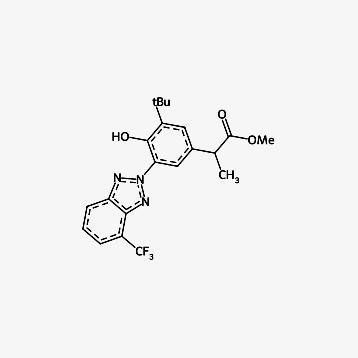 COC(=O)C(C)c1cc(-n2nc3cccc(C(F)(F)F)c3n2)c(O)c(C(C)(C)C)c1